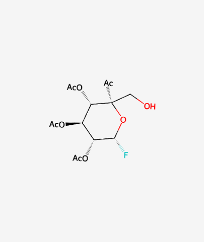 CC(=O)O[C@@H]1[C@@H](OC(C)=O)[C@H](OC(C)=O)[C@](CO)(C(C)=O)O[C@@H]1F